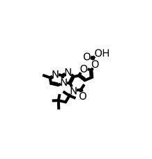 CC(=O)N(c1c(-c2ccc(OC(=O)O)o2)nc2nc(C)ccn12)C(C)(C)CC(C)(C)C